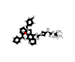 CC(C)(C)OC(=O)NC1CN(C(=O)Oc2c3c(c(OC(c4ccccc4)c4ccccc4)c4ncccc24)C(=O)N(Cc2ccc(F)cc2)C3)C1